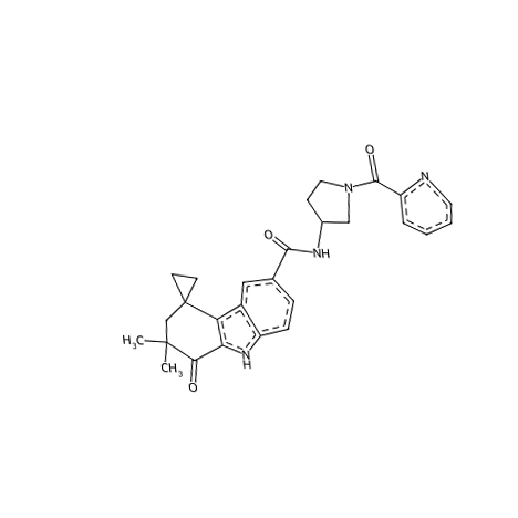 CC1(C)CC2(CC2)c2c([nH]c3ccc(C(=O)NC4CCN(C(=O)c5ccccn5)C4)cc23)C1=O